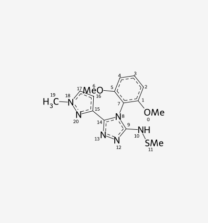 COc1cccc(OC)c1-n1c(NSC)nnc1-c1ccn(C)n1